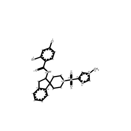 CCc1cc(Cl)ccc1C(=O)NC1Cc2ccccc2C12CCN(S(=O)(=O)c1cn(C)cn1)CC2